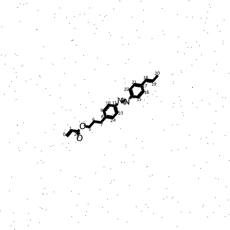 C=CC(=O)OCCCc1ccc(N=Nc2ccc(C=CC)cc2)cc1